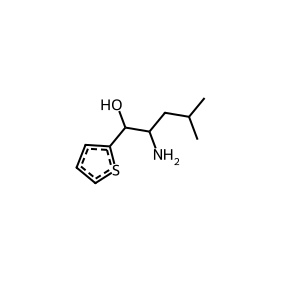 CC(C)CC(N)C(O)c1cccs1